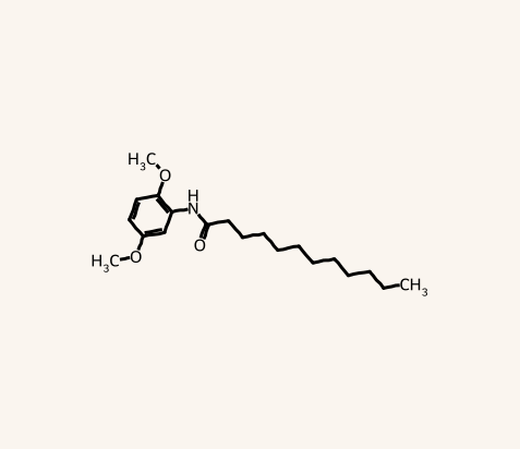 CCCCCCCCCCCC(=O)Nc1cc(OC)ccc1OC